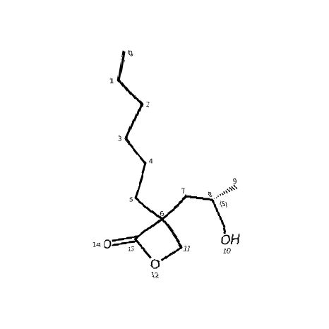 CCCCCCC1(C[C@H](C)O)COC1=O